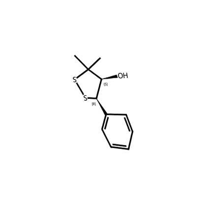 CC1(C)SS[C@H](c2ccccc2)[C@@H]1O